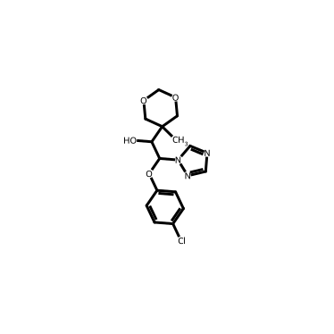 CC1(C(O)C(Oc2ccc(Cl)cc2)n2cncn2)COCOC1